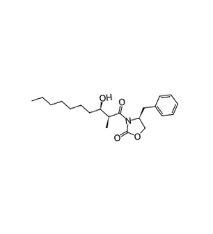 CCCCCCC[C@@H](O)[C@H](C)C(=O)N1C(=O)OC[C@@H]1Cc1ccccc1